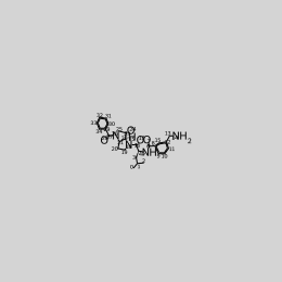 CC(C)C[C@H](NC(=O)c1cccc(CN)c1)C(=O)N1CCC2[C@H]1C(=O)CN2C(=O)c1ccccc1